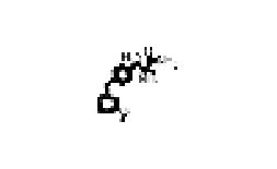 COc1cccc(Cc2ccc(C(N)C(C)(N)C(N)=O)cc2)c1